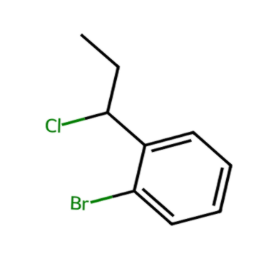 CCC(Cl)c1ccccc1Br